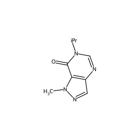 CC(C)n1cnc2cnn(C)c2c1=O